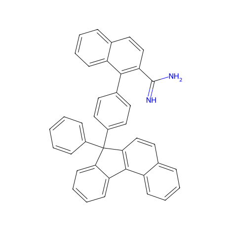 N=C(N)c1ccc2ccccc2c1-c1ccc(C2(c3ccccc3)c3ccccc3-c3c2ccc2ccccc32)cc1